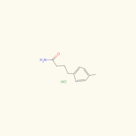 Cc1ccc(CCCC(N)=O)cc1.Cl